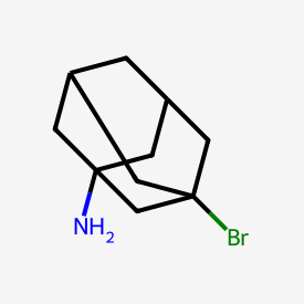 NC12CC3CC(C1)CC(Br)(C3)C2